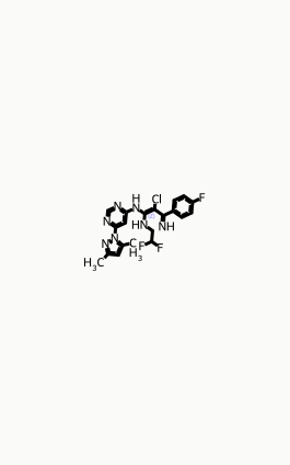 Cc1cc(C)n(-c2cc(N/C(NCC(F)F)=C(\Cl)C(=N)c3ccc(F)cc3)ncn2)n1